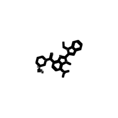 CCn1c(-c2nc3c(C(=O)N4CCC[C@@H](N)C4)ccc(N(C)C)c3n2C)cc2ccccc21